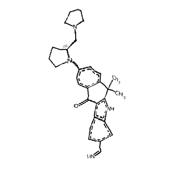 CC1(C)c2ccc(N3CCC[C@H]3CN3CCCC3)cc2C(=O)c2c1[nH]c1cc(C=N)ccc21